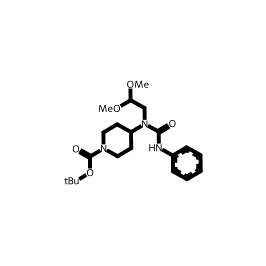 COC(CN(C(=O)Nc1ccccc1)C1CCN(C(=O)OC(C)(C)C)CC1)OC